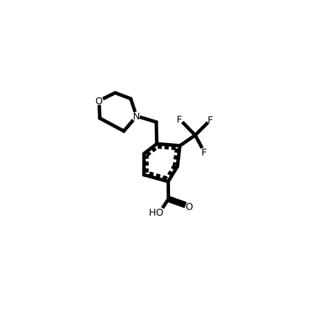 O=C(O)c1ccc(CN2CCOCC2)c(C(F)(F)F)c1